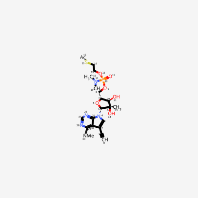 C#Cc1cn([C@@H]2O[C@H](COP(=O)(OCCSC(C)=O)N(C)C)[C@@H](O)[C@@]2(C)O)c2ncnc(NC)c12